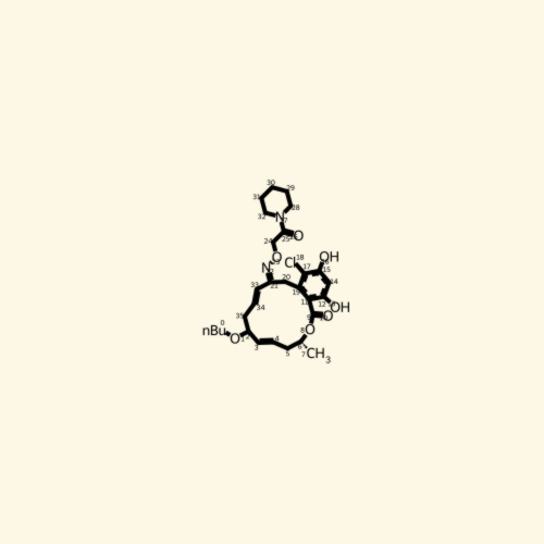 CCCCOC1/C=C/C[C@@H](C)OC(=O)c2c(O)cc(O)c(Cl)c2CC(=N\OCC(=O)N2CCCCC2)/C=C/C1